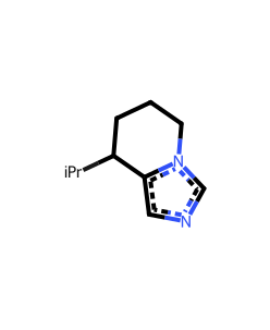 CC(C)C1CCCn2cncc21